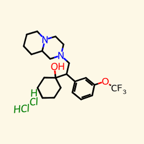 Cl.Cl.OC1(C(CN2CCN3CCCCC3C2)c2cccc(OC(F)(F)F)c2)CCCCC1